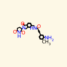 Cc1ccc(C#CC(=O)NCc2ccc3c(c2)CN(C2CCC(=O)NC2=O)C3=O)cc1N